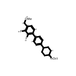 CCCCCCCCC1CCC(c2ccc(-c3ccc(COC)c(F)c3F)cc2)CC1